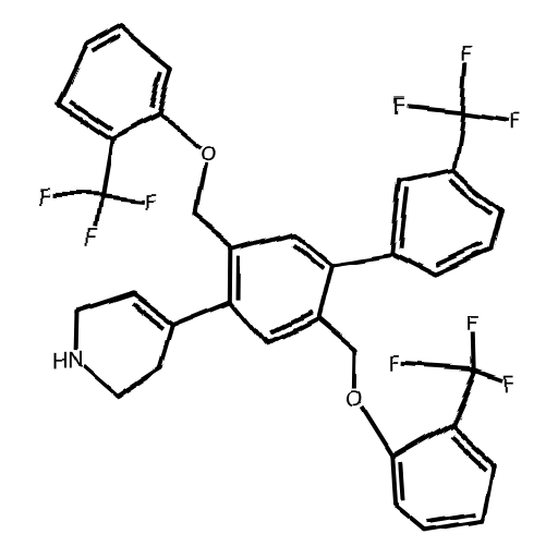 FC(F)(F)c1cccc(-c2cc(COc3ccccc3C(F)(F)F)c(C3=CCNCC3)cc2COc2ccccc2C(F)(F)F)c1